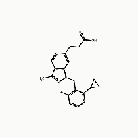 Cc1nn(Cc2c(Cl)cccc2C2CC2)c2cc(CCC(=O)O)ccc12